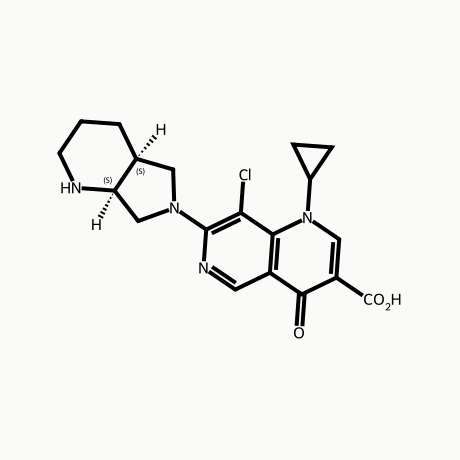 O=C(O)c1cn(C2CC2)c2c(Cl)c(N3C[C@@H]4CCCN[C@@H]4C3)ncc2c1=O